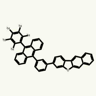 [2H]c1c([2H])c([2H])c(-c2c3ccccc3c(-c3cccc(-c4ccc5c(c4)oc4cc6ccccc6cc45)c3)c3ccccc23)c([2H])c1[2H]